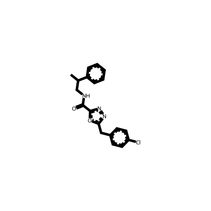 CC(CNC(=O)c1nnc(Cc2ccc(Cl)cc2)o1)c1ccccc1